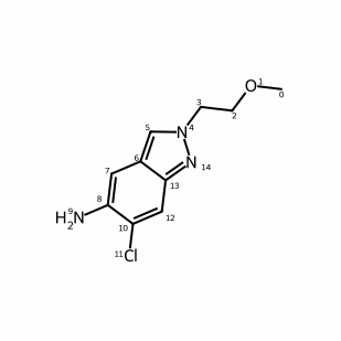 COCCn1cc2cc(N)c(Cl)cc2n1